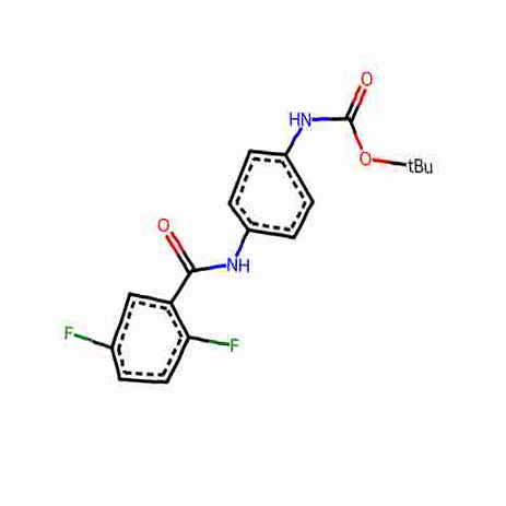 CC(C)(C)OC(=O)Nc1ccc(NC(=O)c2cc(F)ccc2F)cc1